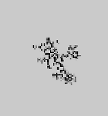 CC(C)Cc1cc(CC(C)C)c(S(=O)(=O)Oc2nc(=O)n([C@H]3C[C@@H](O[Si](C)(C)C(C)(C)C)[C@@H](CO)O3)cc2COCc2ccccc2[N+](=O)[O-])c(CC(C)C)c1